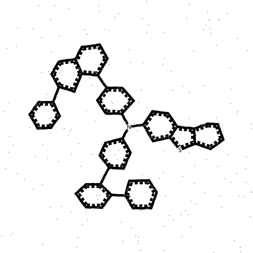 c1ccc(-c2ccc3cccc(-c4ccc(N(c5ccc(-c6ccccc6-c6ccccc6)cc5)c5ccc6c(c5)sc5ccccc56)cc4)c3c2)cc1